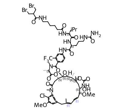 COc1cc2cc(c1Cl)N(C)C(=O)C[C@H](OC(=O)[C@H](C)N(C)C(=O)c1ccc(NC(=O)[C@H](CCCNC(N)=O)NC(=O)[C@@H](NC(=O)CCCCCNC(=O)C(CBr)CBr)C(C)C)cc1C(F)(F)F)[C@]1(C)O[C@H]1[C@H](C)[C@@H]1C[C@@](O)(NC(=O)O1)[C@H](OC)/C=C/C=C(\C)C2